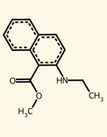 CCNc1ccc2ccccc2c1C(=O)OC